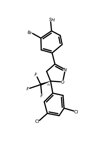 FC(F)(F)[C@@]1(c2cc(Cl)cc(Cl)c2)CC(c2ccc(S)c(Br)c2)=NO1